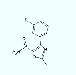 Cc1nc(-c2cccc(F)c2)c(C(N)=O)o1